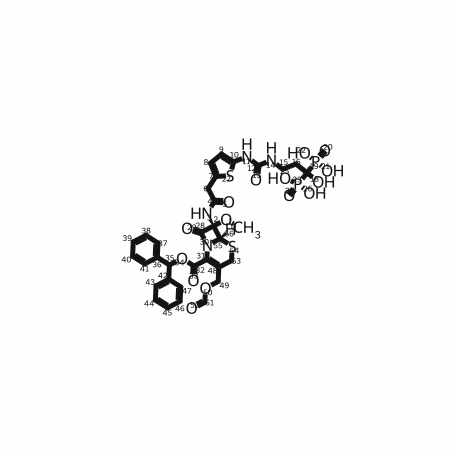 CO[C@@]1(NC(=O)Cc2ccc(NC(=O)NCCC(O)(P(=O)(O)O)P(=O)(O)O)s2)C(=O)N2C(C(=O)OC(c3ccccc3)c3ccccc3)=C(COC=O)CS[C@H]21